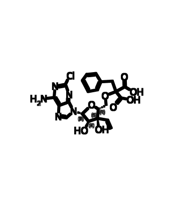 C=C[C@@]1(O)[C@@H](COC(Cc2ccccc2)(C(=O)O)C(=O)O)O[C@@H](n2cnc3c(N)nc(Cl)nc32)[C@@H]1O